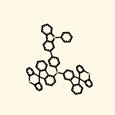 c1ccc(-n2c3ccccc3c3ccc(-c4ccc(N(c5ccc6c(c5)-c5ccccc5C65c6ccccc6Sc6ccccc65)c5cccc6c5-c5ccccc5C65c6ccccc6Sc6ccccc65)cc4)cc32)cc1